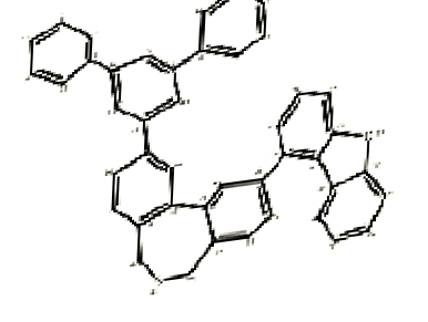 c1ccc(-c2cc(-c3ccccc3)cc(-c3ccc4c(c3)-c3cc(-c5cccc6oc7ccccc7c56)ccc3CSC4)c2)cc1